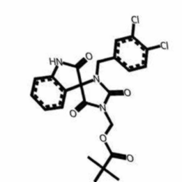 CC(C)(C)C(=O)OCN1C(=O)N(Cc2ccc(Cl)c(Cl)c2)C2(C(=O)Nc3ccccc32)C1=O